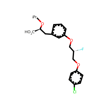 CC(C)O[C@@H](Cc1cccc(OC[C@H](F)COc2ccc(Cl)cc2)c1)C(=O)O